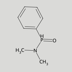 CN(C)[PH](=O)c1ccccc1